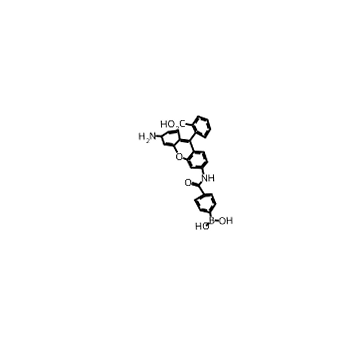 NC1C=CC2=C(c3ccccc3C(=O)O)c3ccc(NC(=O)c4ccc(B(O)O)cc4)cc3OC2=C1